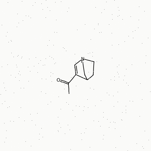 CC(=O)C1=CN2CCC1CC2